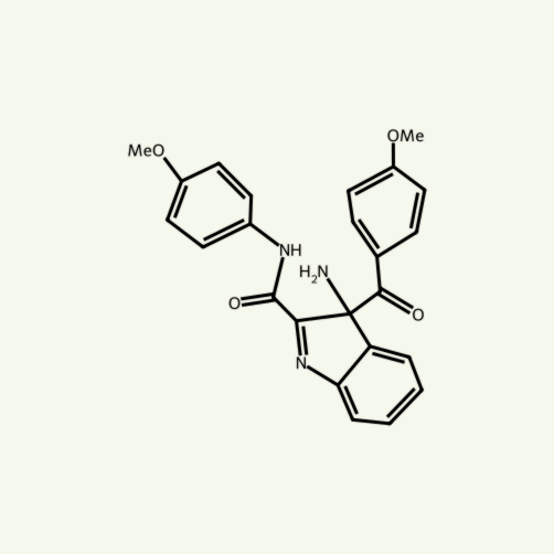 COc1ccc(NC(=O)C2=Nc3ccccc3C2(N)C(=O)c2ccc(OC)cc2)cc1